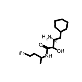 CC(C)CCC(C)NC(=O)C(O)[C@H](N)CC1CCCCC1